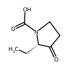 CC[C@H]1C(=O)CCN1C(=O)O